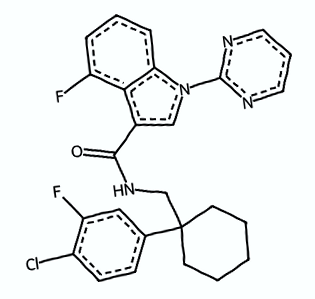 O=C(NCC1(c2ccc(Cl)c(F)c2)CCCCC1)c1cn(-c2ncccn2)c2cccc(F)c12